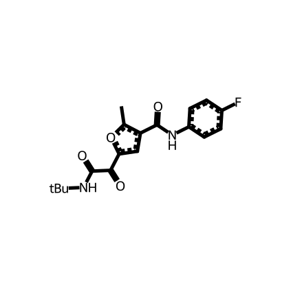 Cc1oc(C(=O)C(=O)NC(C)(C)C)cc1C(=O)Nc1ccc(F)cc1